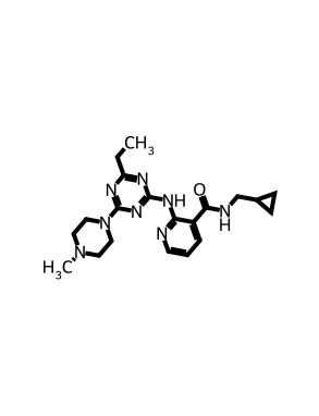 CCc1nc(Nc2ncccc2C(=O)NCC2CC2)nc(N2CCN(C)CC2)n1